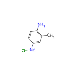 Cc1cc(NCl)ccc1N